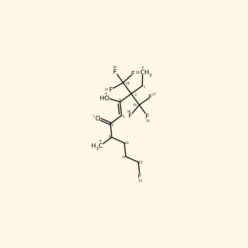 CCC(/C(O)=C/C(=O)C(C)CCCF)(C(F)(F)F)C(F)(F)F